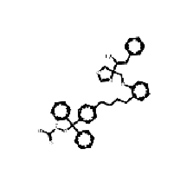 CCC(=O)NOC(c1ccccc1)(c1ccccc1)c1ccc(CCCCc2ccccc2OCC2(C(=Cc3ccccc3)C(F)(F)F)COC=N2)cc1